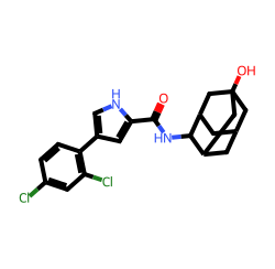 O=C(NC1C2CC3CC1CC(O)(C3)C2)c1cc(-c2ccc(Cl)cc2Cl)c[nH]1